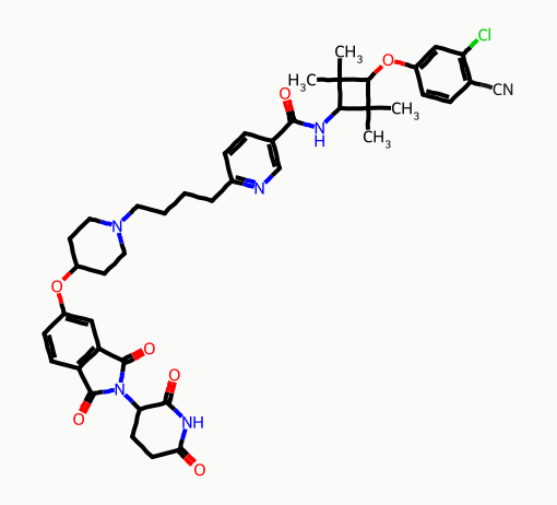 CC1(C)C(NC(=O)c2ccc(CCCCN3CCC(Oc4ccc5c(c4)C(=O)N(C4CCC(=O)NC4=O)C5=O)CC3)nc2)C(C)(C)C1Oc1ccc(C#N)c(Cl)c1